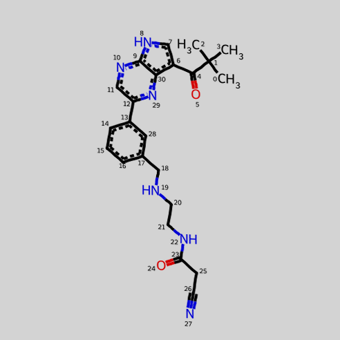 CC(C)(C)C(=O)c1c[nH]c2ncc(-c3cccc(CNCCNC(=O)CC#N)c3)nc12